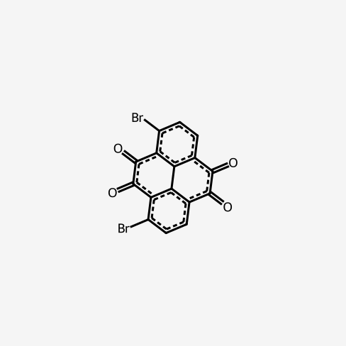 O=c1c(=O)c2ccc(Br)c3c2-c2c1ccc(Br)c2c(=O)c3=O